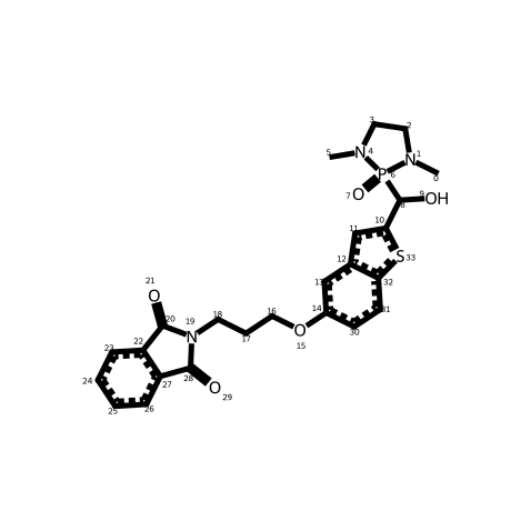 CN1CCN(C)P1(=O)C(O)c1cc2cc(OCCCN3C(=O)c4ccccc4C3=O)ccc2s1